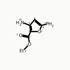 CCOC(=O)c1oc(P)cc1N